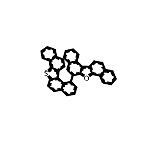 c1ccc2c(c1)ccc1c2oc2c(-c3cccc4ccc5sc6c7ccccc7ccc6c5c34)cc3ccccc3c21